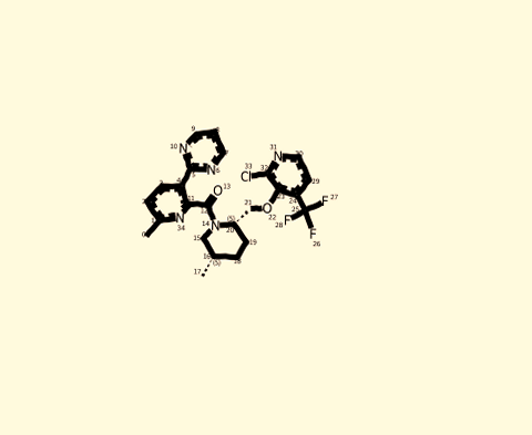 Cc1ccc(-c2ncccn2)c(C(=O)N2C[C@@H](C)CC[C@H]2COc2c(C(F)(F)F)ccnc2Cl)n1